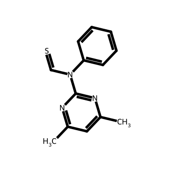 Cc1cc(C)nc(N(C=S)c2ccccc2)n1